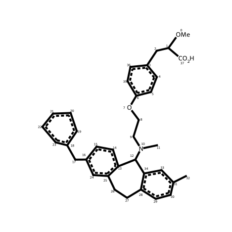 COC(Cc1ccc(OCCN(C)C2c3ccc(Cc4ccccc4)cc3CCc3ccc(C)cc32)cc1)C(=O)O